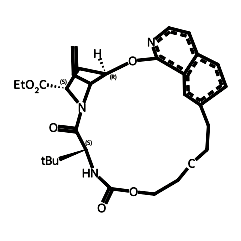 C=CC1[C@H]2C[C@@H](C(=O)OCC)N1C(=O)[C@H](C(C)(C)C)NC(=O)OCCCCCc1ccc3ccnc(c3c1)O2